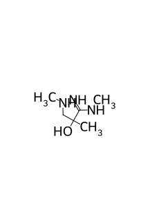 CNCC(C)(O)C(=N)NC